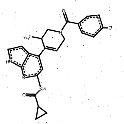 CC1CN(C(=O)c2ccc(Cl)cc2)CC=C1c1cc(NC(=O)C2CC2)nc2[nH]ccc12